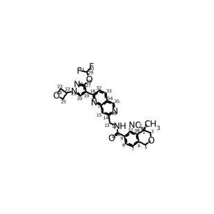 C[C@@]1(C#N)COCc2ccc(C(=O)NCc3cc4nc(-c5cn(C6COC6)nc5OC(F)F)ccc4cn3)cc21